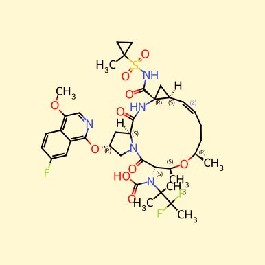 COc1cnc(O[C@@H]2C[C@H]3C(=O)N[C@]4(C(=O)NS(=O)(=O)C5(C)CC5)C[C@H]4/C=C\CC[C@@H](C)O[C@@H](C)[C@H](N(C(=O)O)C(C)(C)C(C)(F)F)C(=O)N3C2)c2cc(F)ccc12